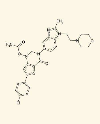 Cc1nc2cc(N3CN(OC(=O)C(F)(F)F)c4cc(-c5ccc(Cl)cc5)sc4C3=O)ccc2n1CCN1CCOCC1